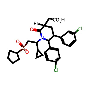 CCC1(CC(=O)O)CC(c2cccc(Cl)c2)C(c2ccc(Cl)cc2)N(C(CS(=O)(=O)C2CCCC2)C2CC2)C1=O